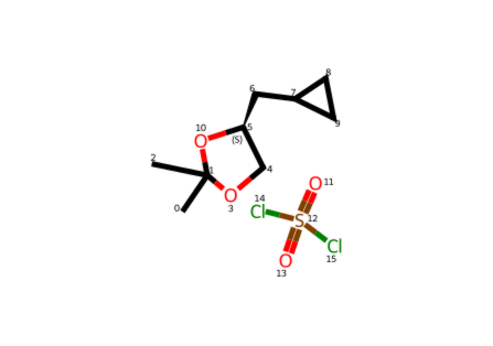 CC1(C)OC[C@H](CC2CC2)O1.O=S(=O)(Cl)Cl